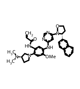 C=CC(=O)Nc1cc(Nc2cc(N3OCC[C@@H]3c3ccc4ccccc4c3)ncn2)c(OC)cc1N1CC[C@@H](N(C)C)C1